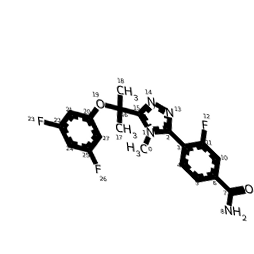 Cn1c(-c2ccc(C(N)=O)cc2F)nnc1C(C)(C)Oc1cc(F)cc(F)c1